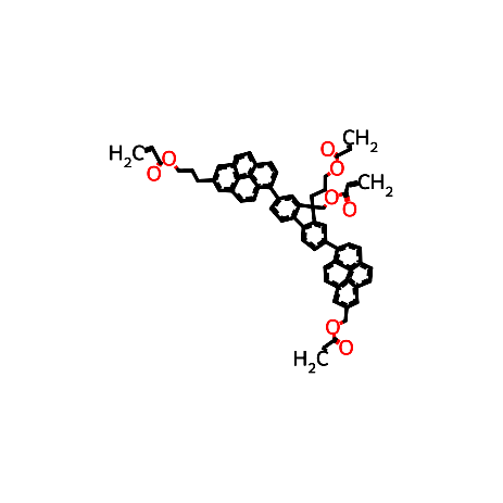 C=CC(=O)OCCCc1cc2ccc3ccc(-c4ccc5c(c4)C(CCCOC(=O)C=C)(COC(=O)C=C)c4cc(-c6ccc7ccc8cc(COC(=O)C=C)cc9ccc6c7c89)ccc4-5)c4ccc(c1)c2c34